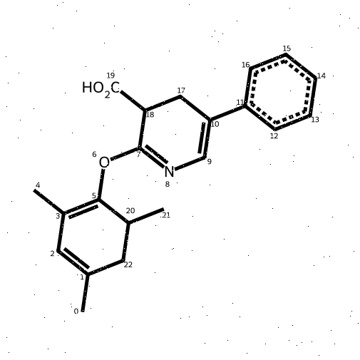 CC1=CC(C)=C(OC2=NC=C(c3ccccc3)CC2C(=O)O)C(C)C1